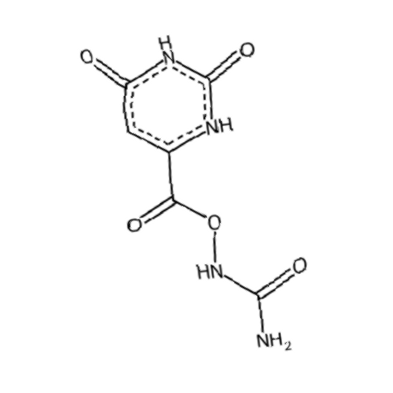 NC(=O)NOC(=O)c1cc(=O)[nH]c(=O)[nH]1